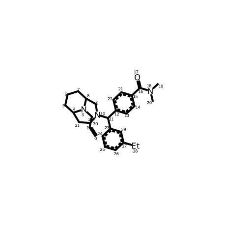 C=CCN1C2CCCC1CN(C(c1ccc(C(=O)N(C)C)cc1)c1cccc(CC)c1)CC2